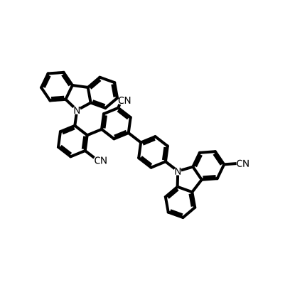 N#Cc1cc(-c2ccc(-n3c4ccccc4c4cc(C#N)ccc43)cc2)cc(-c2c(C#N)cccc2-n2c3ccccc3c3ccccc32)c1